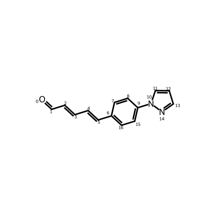 O=C/C=C/C=C/c1ccc(-n2cccn2)cc1